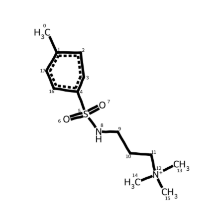 Cc1ccc(S(=O)(=O)NCCC[N+](C)(C)C)cc1